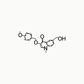 COc1ccc(COc2cn(C)c3ccc(CO)cc3c2=O)cc1